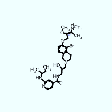 CCC(C)Nc1cc(C(=O)NCC(O)CN2CCc3c(ccc(OC/C(OC)=C(\C)NC)c3Br)C2)ccn1